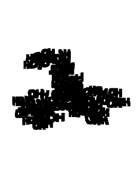 CC(=O)NC1[C@H](O[C@@H]2C(CO[C@@H]3OC(C)[C@@H](O)C(O)[C@@H]3O)O[C@@H](C(C)C)C(NC(C)=O)[C@H]2O)OC(CO)[C@@H](O[C@@H]2OC(CO[C@H]3OC(CO)[C@@H](O)[C@H](O)C3O[C@@H]3OC(CO)[C@H](O[C@@H]4OC(CO[C@@H]5CC(O)[C@@H](C)C(C(O)C(O)CO)O5)[C@H](O)[C@H](O)C4O)[C@H](O)C3NC(C)=O)[C@@H](O)[C@H](O[C@H]3OC(CO)[C@@H](O)[C@H](O)C3O[C@@H]3OC(CO)[C@@H](O[C@@H]4OC(CO[C@@H]5CC(O)[C@@H](C)C(C(O)C(O)CO)O5)[C@H](O)[C@H](O)C4O)[C@H](O)C3C)C2O)[C@@H]1O